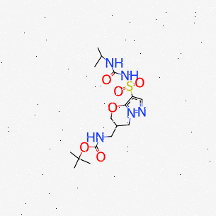 CC(C)NC(=O)NS(=O)(=O)c1cnn2c1OCC(CNC(=O)OC(C)(C)C)C2